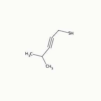 CC(C)C#CCS